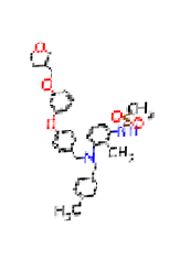 Cc1ccc(CN(Cc2ccc(Oc3cccc(OCC4CCOC4)c3)cc2)c2cccc(NS(C)(=O)=O)c2C)cc1